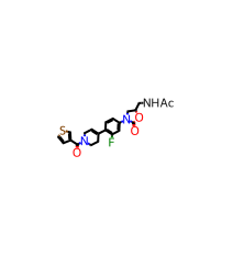 CC(=O)NCC1CN(c2ccc(C3=CCN(C(=O)c4ccsc4)CC3)c(F)c2)C(=O)O1